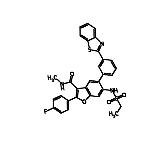 CCS(=O)(=O)Nc1cc2oc(-c3ccc(F)cc3)c(C(=O)NC)c2cc1-c1cccc(-c2nc3ccccc3s2)c1